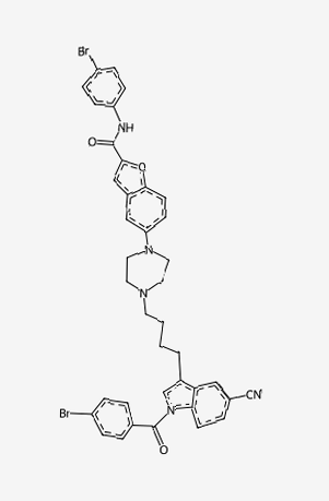 N#Cc1ccc2c(c1)c(CCCCN1CCN(c3ccc4oc(C(=O)Nc5ccc(Br)cc5)cc4c3)CC1)cn2C(=O)c1ccc(Br)cc1